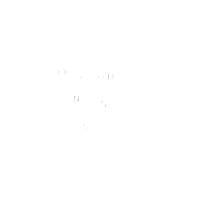 CC(C)[C@H](C(=O)O)N(C)C(=O)N1CCCCCC1